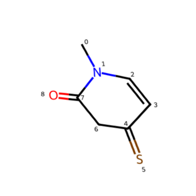 CN1C=CC(=S)CC1=O